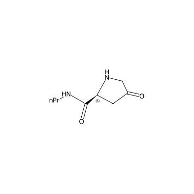 CCCNC(=O)[C@@H]1CC(=O)CN1